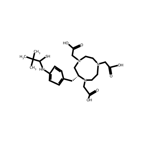 CC(C)(C)C(S)Nc1ccc(C[C@@H]2CN(CC(=O)O)CCN(CC(=O)O)CCN2CC(=O)O)cc1